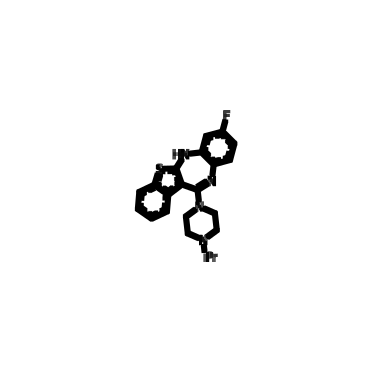 CC(C)N1CCN(C2=Nc3ccc(F)cc3Nc3sc4ccccc4c32)CC1